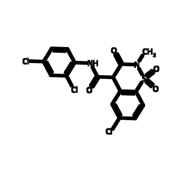 CN1C(=O)C(C(=O)Nc2ccc(Cl)cc2Cl)c2cc(Cl)ccc2S1(=O)=O